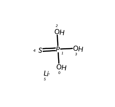 OP(O)(O)=S.[Li]